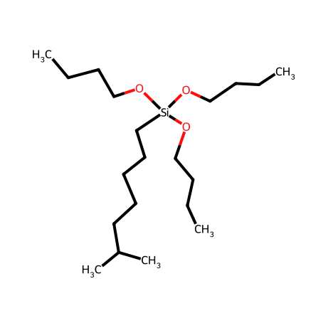 CCCCO[Si](CCCCCC(C)C)(OCCCC)OCCCC